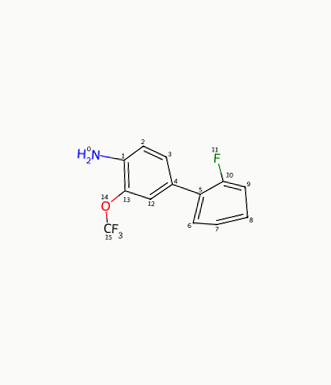 Nc1ccc(-c2ccccc2F)cc1OC(F)(F)F